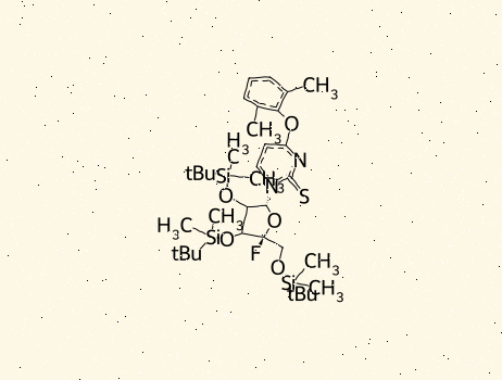 Cc1cccc(C)c1Oc1ccn([C@@H]2O[C@](F)(CO[Si](C)(C)C(C)(C)C)C(O[Si](C)(C)C(C)(C)C)C2O[Si](C)(C)C(C)(C)C)c(=S)n1